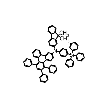 CC1(C)c2ccccc2-c2ccc(N(c3ccc([Si](c4ccccc4)(c4ccccc4)c4ccccc4)cc3)c3ccc4c(c3)c3ccccc3c3c(-c5ccccc5)cc(-c5ccccc5)c(-c5ccccc5)c43)cc21